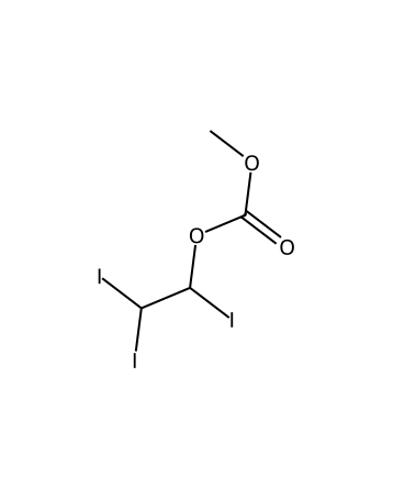 COC(=O)OC(I)C(I)I